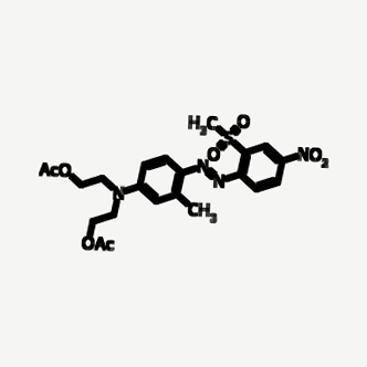 CC(=O)OCCN(CCOC(C)=O)c1ccc(N=Nc2ccc([N+](=O)[O-])cc2S(C)(=O)=O)c(C)c1